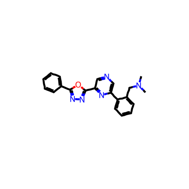 CN(C)Cc1ccccc1-c1cncc(-c2nnc(-c3ccccc3)o2)n1